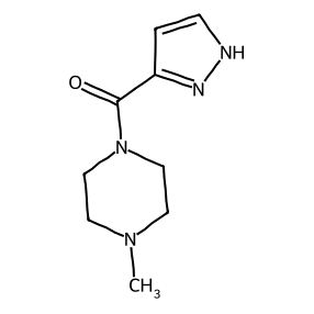 CN1CCN(C(=O)c2cc[nH]n2)CC1